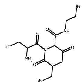 CC(C)CCNC(=O)[C@@H]1C(=O)CC(CC(C)C)C(=O)N1C(=O)C(N)CC(C)C